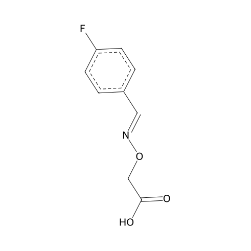 O=C(O)CO/N=C/c1ccc(F)cc1